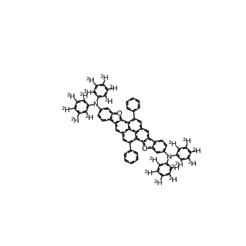 [2H]c1c([2H])c([2H])c(N(c2ccc3c(c2)oc2c3cc3cc(-c4ccccc4)c4c5oc6cc(N(c7c([2H])c([2H])c([2H])c([2H])c7[2H])c7c([2H])c([2H])c([2H])c([2H])c7[2H])ccc6c5cc5cc(-c6ccccc6)c2c3c54)c2c([2H])c([2H])c([2H])c([2H])c2[2H])c([2H])c1[2H]